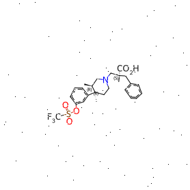 C[C@H]1CN(C[C@](C)(Cc2ccccc2)C(=O)O)CC[C@@]1(C)c1cccc(OS(=O)(=O)C(F)(F)F)c1